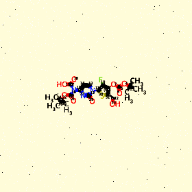 CC(C)(C)OC(=O)O[C@H]1[C@H](F)[C@H](n2ccc(N(C(=O)O)C(=O)OC(C)(C)C)nc2=O)S[C@@H]1CO